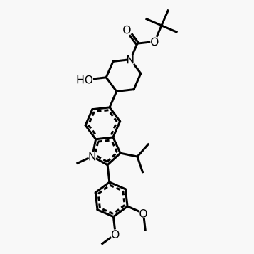 COc1ccc(-c2c(C(C)C)c3cc(C4CCN(C(=O)OC(C)(C)C)CC4O)ccc3n2C)cc1OC